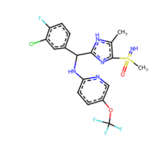 Cc1[nH]c(C(Nc2ccc(OC(F)(F)F)cn2)c2ccc(F)c(Cl)c2)nc1S(C)(=N)=O